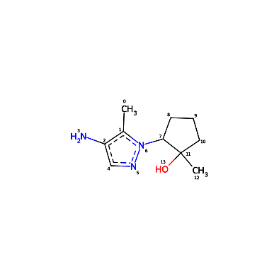 Cc1c(N)cnn1C1CCCC1(C)O